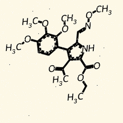 CCOC(=O)c1[nH]c(/C=N/OC)c(-c2ccc(OC)c(OC)c2OC)c1C(C)=O